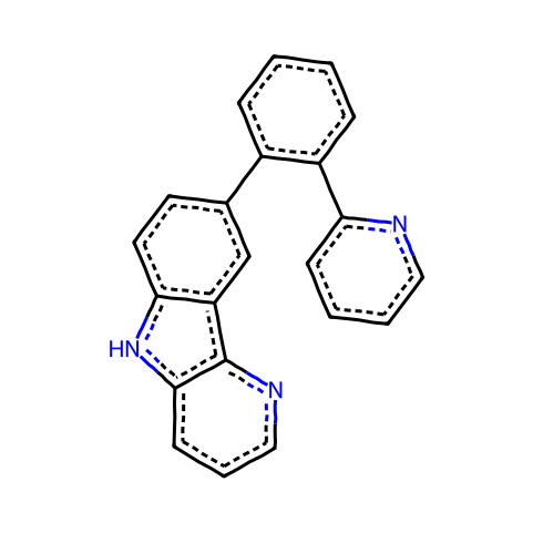 c1ccc(-c2ccccc2-c2ccc3[nH]c4cccnc4c3c2)nc1